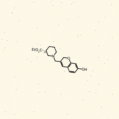 CCOC(=O)[C@@H]1CCCN(CC2=Cc3ccc(O)cc3OC2)C1